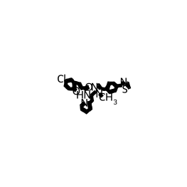 Cn1c(-c2ccc(-c3nccs3)cc2)cnc1C(Cc1ccccn1)NC(=O)c1cc2cc(Cl)ccc2o1